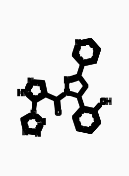 O=C(c1cn[nH]c1-n1cnnn1)N1N=C(c2cccnc2)CC1c1ccccc1O